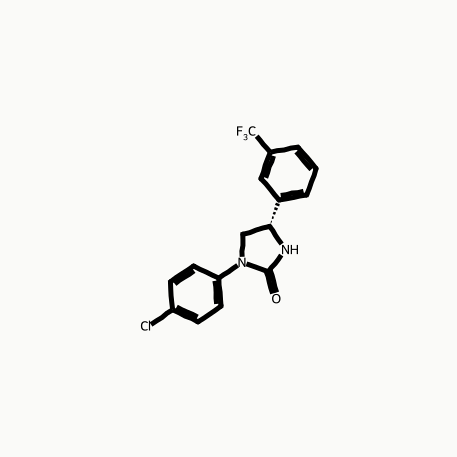 O=C1N[C@@H](c2cccc(C(F)(F)F)c2)CN1c1ccc(Cl)cc1